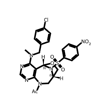 CC(=O)N1C[C@H]2CO[C@@H](c3c(N(C)Cc4ccc(Cl)cc4)ncnc31)N2S(=O)(=O)c1ccc([N+](=O)[O-])cc1